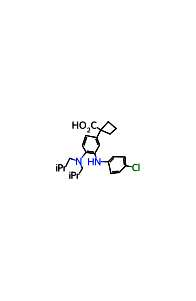 CC(C)CN(CC(C)C)c1ccc(C2(C(=O)O)CCC2)cc1Nc1ccc(Cl)cc1